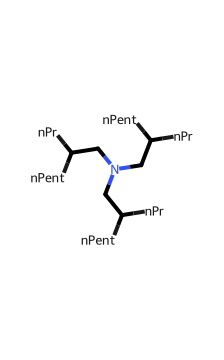 CCCCCC(CCC)CN(CC(CCC)CCCCC)CC(CCC)CCCCC